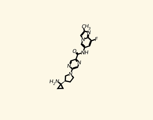 Cc1cn2cc(NC(=O)c3cnc(N4CC[C@@H](C5(N)CC5)C4)cn3)cc(F)c2n1